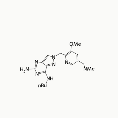 CCCCNc1nc(N)nc2cn(Cc3ncc(CNC)cc3OC)nc12